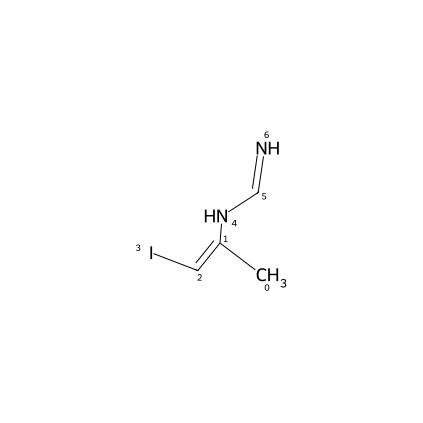 C/C(=C/I)NC=N